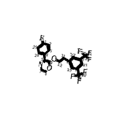 Fc1ccc(C2=NCCO[C@H]2OCCc2cc(C(F)(F)F)cc(C(F)(F)F)c2)cc1